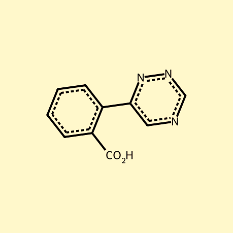 O=C(O)c1ccccc1-c1cncnn1